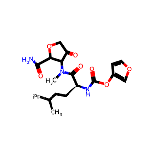 CC(C)C(C)CC[C@H](NC(=O)Oc1ccoc1)C(=O)N(C)C1C(=O)COC1C(N)=O